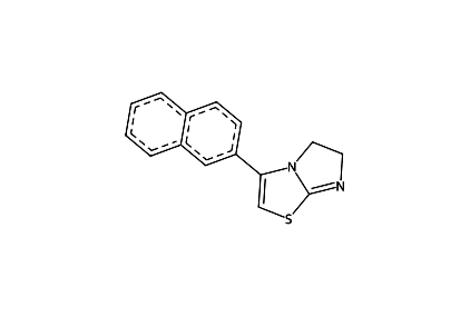 C1=C(c2ccc3ccccc3c2)N2CCN=C2S1